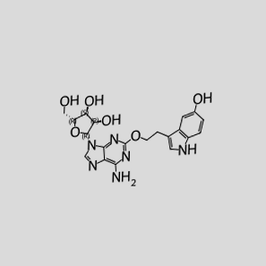 Nc1nc(OCCc2c[nH]c3ccc(O)cc23)nc2c1ncn2[C@@H]1O[C@H](CO)[C@@H](O)[C@H]1O